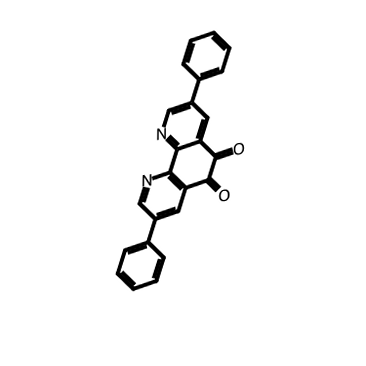 O=C1C(=O)c2cc(-c3ccccc3)cnc2-c2ncc(-c3ccccc3)cc21